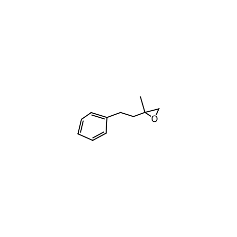 CC1(CCc2ccccc2)CO1